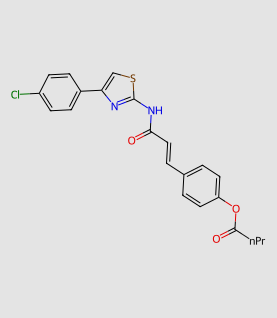 CCCC(=O)Oc1ccc(/C=C/C(=O)Nc2nc(-c3ccc(Cl)cc3)cs2)cc1